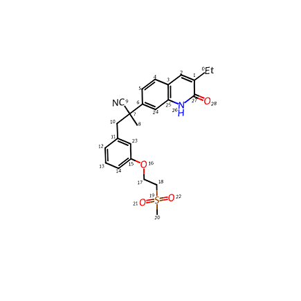 CCc1cc2ccc(C(C)(C#N)Cc3cccc(OCCS(C)(=O)=O)c3)cc2[nH]c1=O